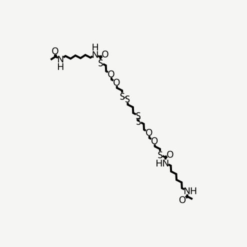 CC(=O)NCCCCCCNC(=O)SCCOCOCCSSCCCSSCCOCOCCSC(=O)NCCCCCCNC(C)=O